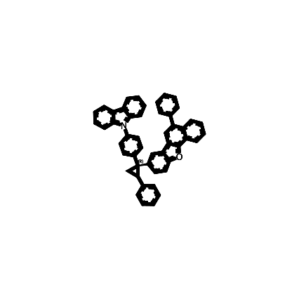 c1ccc(-c2cc3c4cc([C@]5(c6ccc(-n7c8ccccc8c8ccccc87)cc6)CC5c5ccccc5)ccc4oc3c3ccccc23)cc1